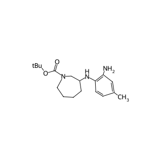 Cc1ccc(NC2CCCCN(C(=O)OC(C)(C)C)C2)c(N)c1